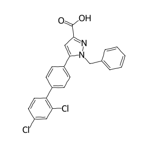 O=C(O)c1cc(-c2ccc(-c3ccc(Cl)cc3Cl)cc2)n(Cc2ccccc2)n1